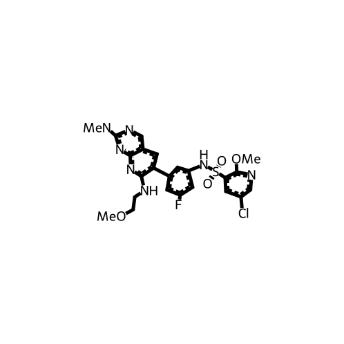 CNc1ncc2cc(-c3cc(F)cc(NS(=O)(=O)c4cc(Cl)cnc4OC)c3)c(NCCOC)nc2n1